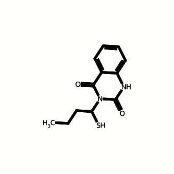 CCCC(S)n1c(=O)[nH]c2ccccc2c1=O